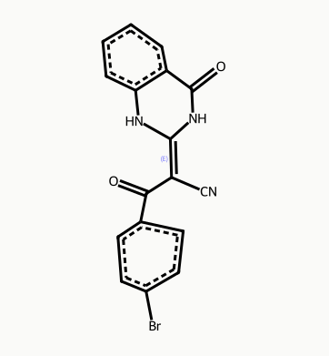 N#C/C(C(=O)c1ccc(Br)cc1)=C1\NC(=O)c2ccccc2N1